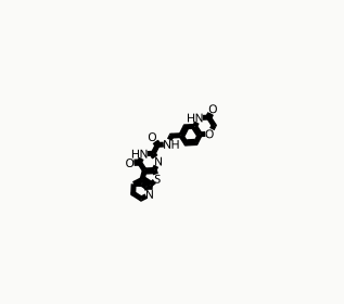 O=C1COc2ccc(CNC(=O)c3nc4sc5c(c4c(=O)[nH]3)C3CCN5CC3)cc2N1